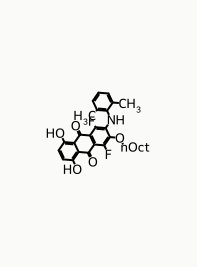 CCCCCCCCOc1c(F)c2c(c(F)c1Nc1c(C)cccc1C)C(=O)c1c(O)ccc(O)c1C2=O